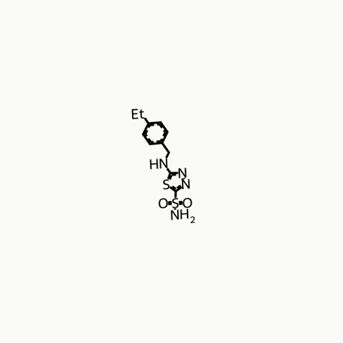 CCc1ccc(CNc2nnc(S(N)(=O)=O)s2)cc1